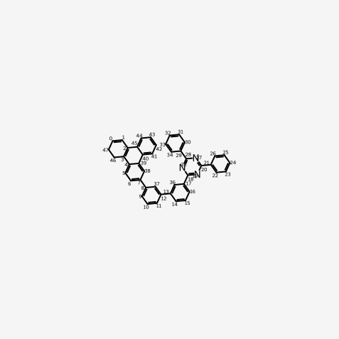 C1=Cc2c(c3ccc(-c4cccc(-c5cccc(-c6nc(-c7ccccc7)nc(-c7ccccc7)n6)c5)c4)cc3c3ccccc23)CC1